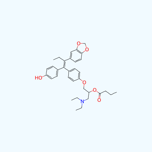 CCCC(=O)OC(COc1ccc(C(=C(CC)c2ccc3c(c2)OCO3)c2ccc(O)cc2)cc1)CN(CC)CC